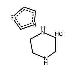 C1CNCCN1.Cl.c1cscn1